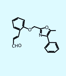 Cc1oc(COc2ccccc2/C=C/C=O)nc1-c1ccccc1